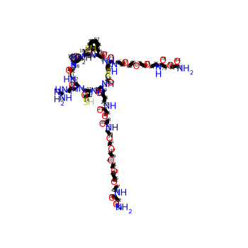 N=C(N)NCCC[C@@H]1NC(=O)[C@H](CCS)NC(=O)[C@H](CCCCNC(=O)COCC(=O)NCCOCCOCCOCCOCCOCCNC(=O)CON)NC(=O)CSC[C@@H](C(=O)NCCOCCOCCOCCNC(=O)COCC(N)=O)NC(=O)[C@H](Cc2ccccc2)NC(=O)[C@H](CS)NC(=O)[C@H](CC(=O)O)NC(=O)CNC1=O